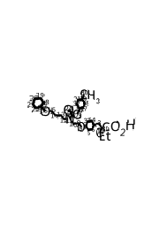 CCOC(Cc1ccc(OCCN(CCCCOc2ccccc2)C(=O)Oc2ccc(C)cc2)cc1)C(=O)O